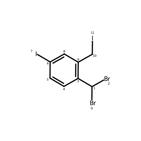 BrC(Br)c1ccc(I)cc1CI